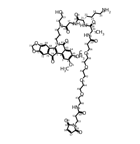 COc1cc2c3c(n(CCCN(CCO)C(=O)CNC(=O)[C@H](CCCCN)NC(=O)[C@H](C)NC(=O)CCOCCOCCOCCOCCNC(=O)CCN4C(=O)C=CC4=O)c(=O)c2cc1OC)-c1cc2c(cc1C3=O)OCO2